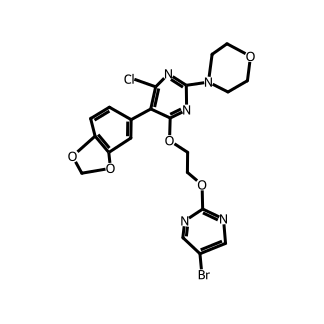 Clc1nc(N2CCOCC2)nc(OCCOc2ncc(Br)cn2)c1-c1ccc2c(c1)OCO2